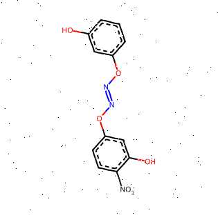 O=[N+]([O-])c1ccc(ON=NOc2cccc(O)c2)cc1O